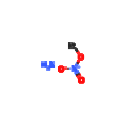 CCO[N+](=O)[O-].N